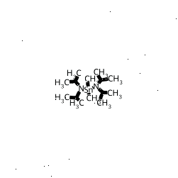 CC(C)[N](C(C)C)[Sn]([CH3])([CH3])[N](C(C)C)C(C)C